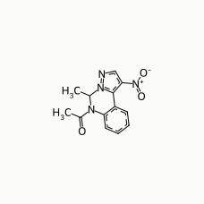 CC(=O)N1c2ccccc2-c2c([N+](=O)[O-])cnn2C1C